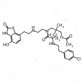 CC(=O)OCC(C)(C)CN(CCNCCc1ccc(O)c2[nH]c(=O)sc12)C(=O)C(C)NCCc1ccc(Cl)cc1